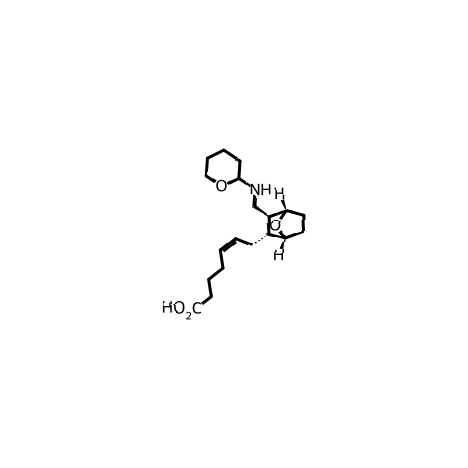 O=C(O)CCC/C=C\C[C@@H]1[C@@H](CNC2CCCCO2)[C@@H]2CC[C@H]1O2